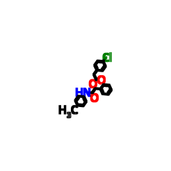 Cc1ccc(NC(=O)C(OC(=O)Cc2ccc(Cl)cc2)c2ccccc2)cc1